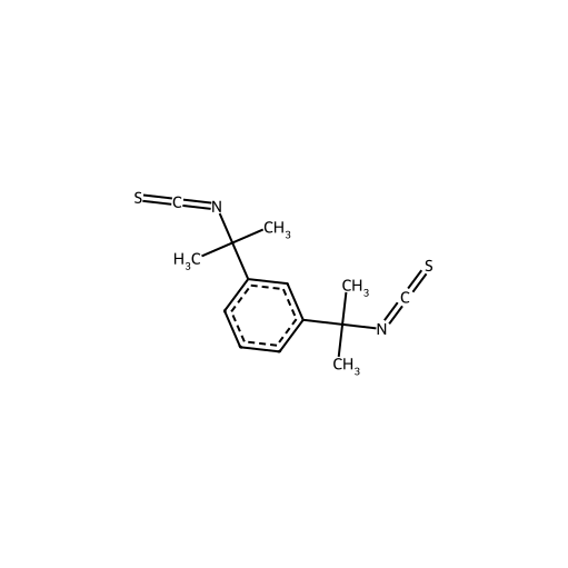 CC(C)(N=C=S)c1cccc(C(C)(C)N=C=S)c1